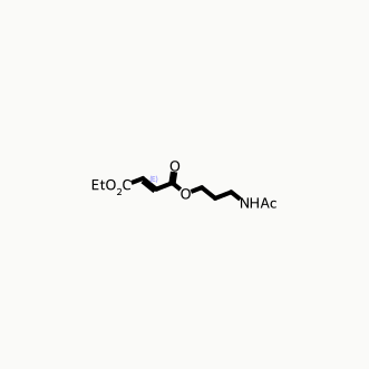 CCOC(=O)/C=C/C(=O)OCCCNC(C)=O